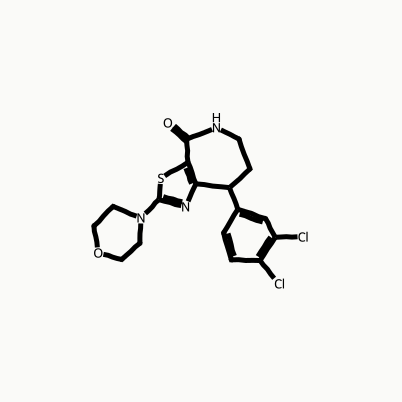 O=C1NCCC(c2ccc(Cl)c(Cl)c2)c2nc(N3CCOCC3)sc21